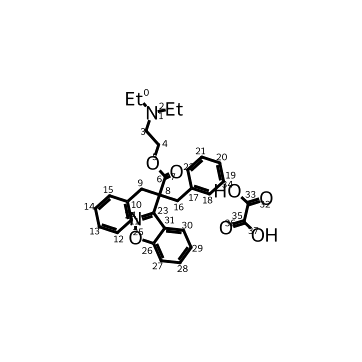 CCN(CC)CCOC(=O)C(Cc1ccccc1)(Cc1ccccc1)c1noc2ccccc12.O=C(O)C(=O)O